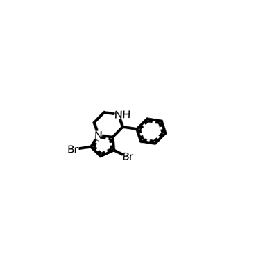 Brc1cc(Br)n2c1C(c1ccccc1)NCC2